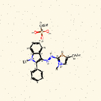 CCn1c(-c2ccccc2)c(N=Nc2sc(OC)c[n+]2C)c2ccccc21.COS(=O)(=O)[O-]